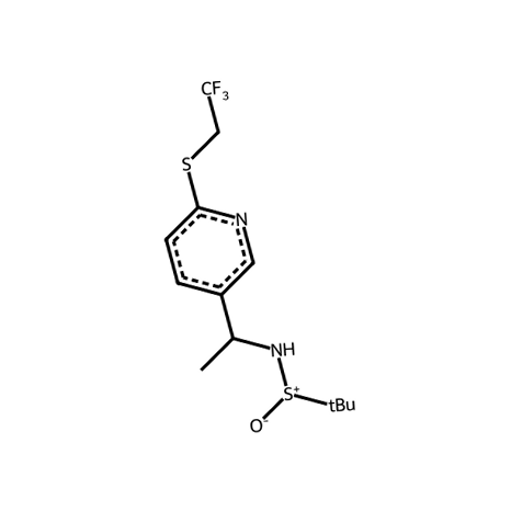 CC(N[S+]([O-])C(C)(C)C)c1ccc(SCC(F)(F)F)nc1